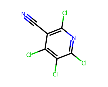 N#Cc1c(Cl)nc(Cl)c(Cl)c1Cl